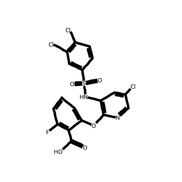 O=C(O)c1c(F)cccc1Oc1ncc(Cl)cc1NS(=O)(=O)c1ccc(Cl)c(Cl)c1